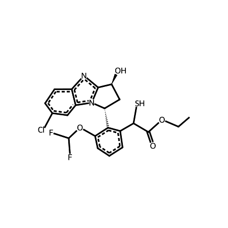 CCOC(=O)C(S)c1cccc(OC(F)F)c1[C@H]1C[C@H](O)c2nc3ccc(Cl)cc3n21